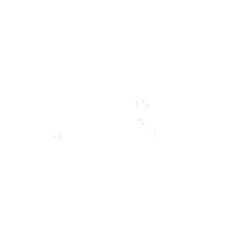 [CH2]C1=CNN(c2ccc(Cl)cc2)O1